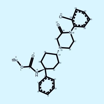 CC(C)(C)OC(=O)N[C@]1(c2ccccc2)CC[C@@H](N2CCN(c3ccccc3Cl)C(=O)C2)CC1